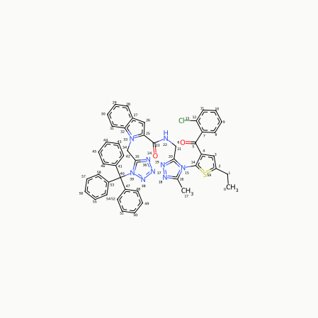 CCc1cc(C(=O)c2ccccc2Cl)c(-n2c(C)nnc2CNC(=O)c2cc3ccccc3n2Cc2nnnn2C(c2ccccc2)(c2ccccc2)c2ccccc2)s1